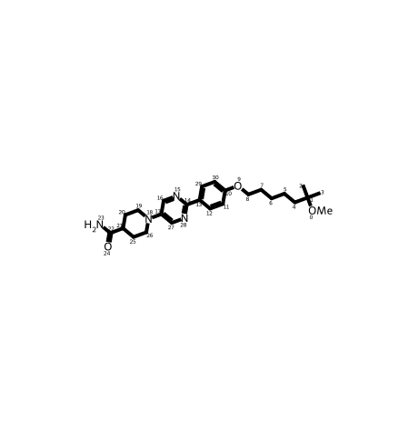 COC(C)(C)CCCCCOc1ccc(-c2ncc(N3CCC(C(N)=O)CC3)cn2)cc1